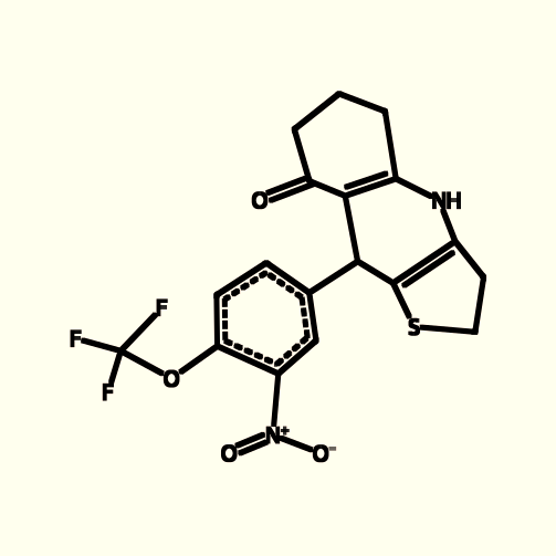 O=C1CCCC2=C1C(c1ccc(OC(F)(F)F)c([N+](=O)[O-])c1)C1=C(CCS1)N2